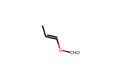 CC=[C]OC=O